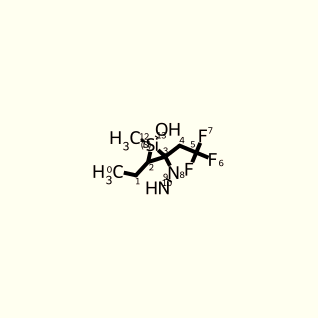 CCC1C(CC(F)(F)F)(N=N)[Si@@]1(C)O